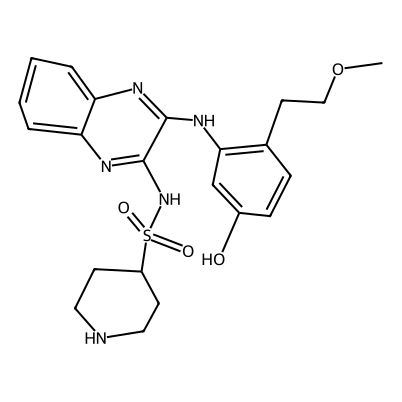 COCCc1ccc(O)cc1Nc1nc2ccccc2nc1NS(=O)(=O)C1CCNCC1